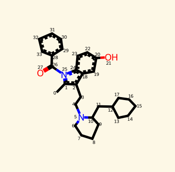 Cc1c(CCN2CCCCC2CC2CCCCC2)c2cc(O)ccc2n1C(=O)c1ccccc1